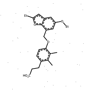 CCOc1cc(COc2ccc(CCC(=O)O)c(C)c2C)c2oc(CC)cc2c1